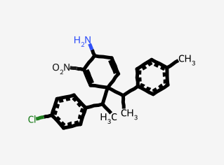 Cc1ccc(C(C)C2(C(C)c3ccc(Cl)cc3)C=CC(N)C([N+](=O)[O-])=C2)cc1